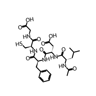 CC(=O)N[C@@H](CC(C)C)C(=O)N[C@@H](CC(=O)O)C(=O)N[C@@H](Cc1ccccc1)C(=O)N[C@@H](CS)C(=O)NCC(=O)O